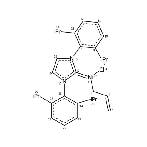 C=C[CH2][Ni-2]([Cl])=[c]1n(-c2c(C(C)C)cccc2C(C)C)ccn1-c1c(C(C)C)cccc1C(C)C